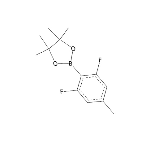 Cc1cc(F)c(B2OC(C)(C)C(C)(C)O2)c(F)c1